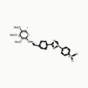 CO[C@@H]1[C@@H](OC)[C@H](C)O[C@@H](O/N=C/c2ccc(-c3ncn(-c4ccc([SH](=O)=O)cc4)n3)cc2)[C@@H]1OC